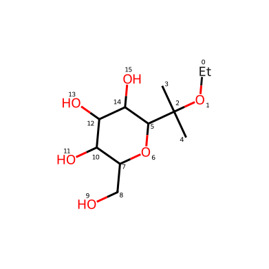 CCOC(C)(C)C1OC(CO)C(O)C(O)C1O